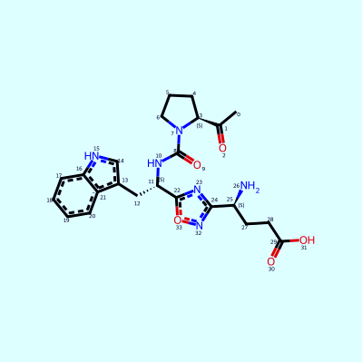 CC(=O)[C@@H]1CCCN1C(=O)N[C@@H](Cc1c[nH]c2ccccc12)c1nc([C@@H](N)CCC(=O)O)no1